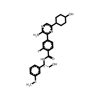 CSc1cccc([C@@H](CO)NC(=O)c2ccc(-c3nc(C4CCC(O)CC4)cnc3N)cc2F)c1